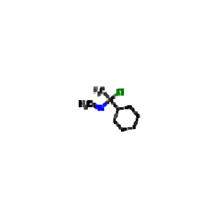 C=NC(Cl)(C1CCCCC1)C(F)(F)F